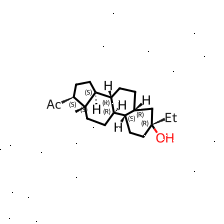 CC[C@@]1(O)CC[C@H]2[C@H](CC[C@@H]3[C@@H]2CC[C@]2(C)[C@@H](C(C)=O)CC[C@@H]32)C1